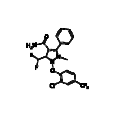 CN1C(c2ccccc2)=C(C(N)=O)C(C(F)F)N1Oc1ccc(C(F)(F)F)cc1Cl